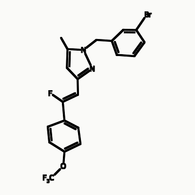 Cc1cc(C=C(F)c2ccc(OC(F)(F)F)cc2)nn1Cc1cccc(Br)c1